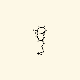 Cc1cccc2cc(CC=NO)ccc12